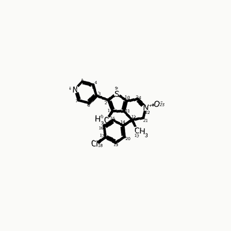 Cc1c(-c2ccncc2)sc2c1C(C)(c1ccc(Cl)cc1)C[N+]([O-])=C2